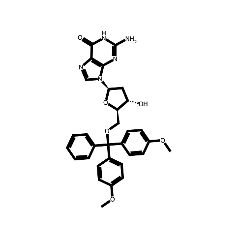 COc1ccc(C(OC[C@H]2O[C@@H](n3cnc4c(=O)[nH]c(N)nc43)C[C@@H]2O)(c2ccccc2)c2ccc(OC)cc2)cc1